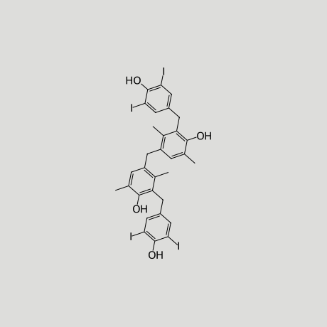 Cc1cc(Cc2cc(C)c(O)c(Cc3cc(I)c(O)c(I)c3)c2C)c(C)c(Cc2cc(I)c(O)c(I)c2)c1O